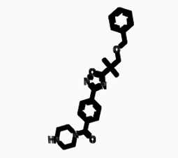 CC(C)(COCc1ccccc1)c1nc(-c2ccc(C(=O)N3CCNCC3)cc2)no1